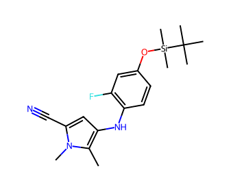 Cc1c(Nc2ccc(O[Si](C)(C)C(C)(C)C)cc2F)cc(C#N)n1C